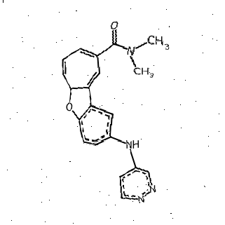 CN(C)C(=O)C1=CC=CC2Oc3ccc(Nc4ccnnc4)cc3C2=C1